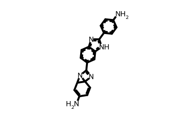 NC1=CC2N3C(c4ccc5nc(-c6ccc(N)cc6)[nH]c5c4)=NC23C=C1